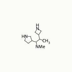 CNC(C1CCNC1)C(C)C1CNC1